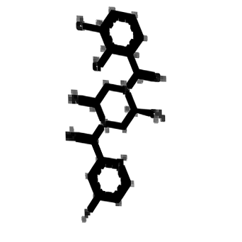 C[C@H]1CN(C(=N)c2cc(F)ccn2)C(=N)CN1C(=O)c1cccc(Cl)c1Cl